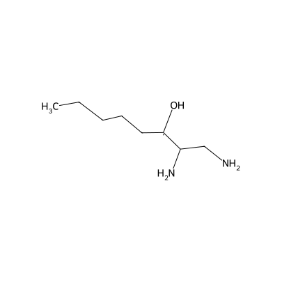 CCCCC[C](O)C(N)CN